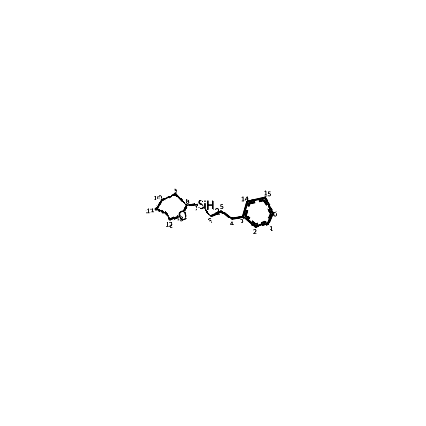 c1ccc(CCC[SiH2]C2CCCCO2)cc1